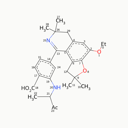 CCOc1cc2c(c3c1OC(C)(C)C3)C(c1ccc(C(=O)O)c(NC(C)C(C)=O)c1)=NC(C)(C)C2